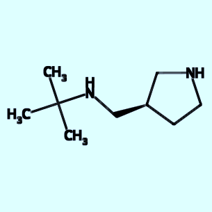 CC(C)(C)NC[C@@H]1CCNC1